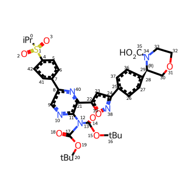 CC(C)S(=O)(=O)c1ccc(-c2cnc(N(C(=O)OC(C)(C)C)C(=O)OC(C)(C)C)c(-c3cc(-c4ccc([C@@H]5COCCN5C(=O)O)cc4)no3)n2)cc1